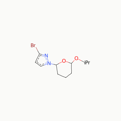 CC(C)OC1CCCC(n2ccc(Br)n2)O1